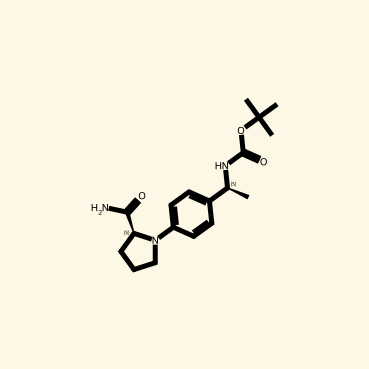 C[C@H](NC(=O)OC(C)(C)C)c1ccc(N2CCC[C@H]2C(N)=O)cc1